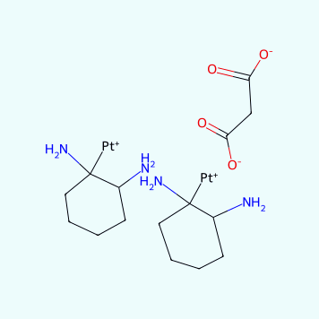 NC1CCCC[C]1(N)[Pt+].NC1CCCC[C]1(N)[Pt+].O=C([O-])CC(=O)[O-]